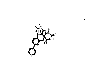 C[C@@H]1CN2c3ccc(-c4ccncc4)nc3CC3(C(=O)NC(=O)NC3=O)[C@H]2[C@H](C)O1